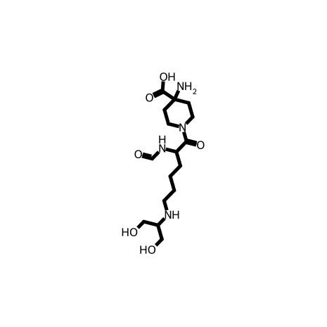 NC1(C(=O)O)CCN(C(=O)C(CCCCNC(CO)CO)NC=O)CC1